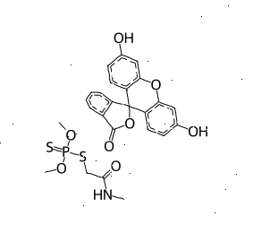 CNC(=O)CSP(=S)(OC)OC.O=C1OC2(c3ccc(O)cc3Oc3cc(O)ccc32)c2ccccc21